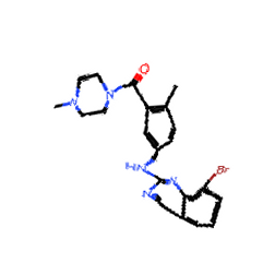 Cc1ccc(Nc2ncc3cccc(Br)c3n2)cc1C(=O)N1CCN(C)CC1